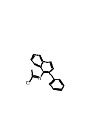 C/C(Cl)=N\c1c(-c2ccccc2)ccc2ccccc12